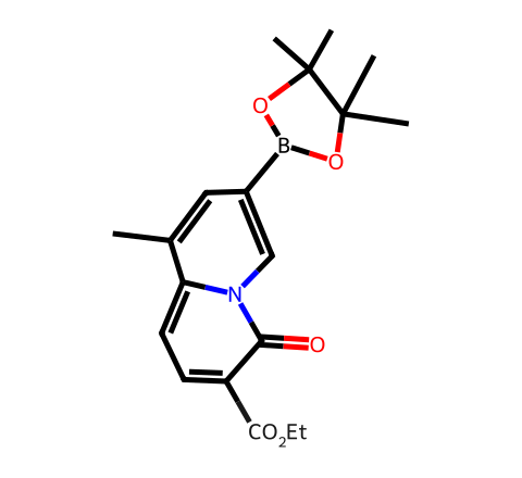 CCOC(=O)c1ccc2c(C)cc(B3OC(C)(C)C(C)(C)O3)cn2c1=O